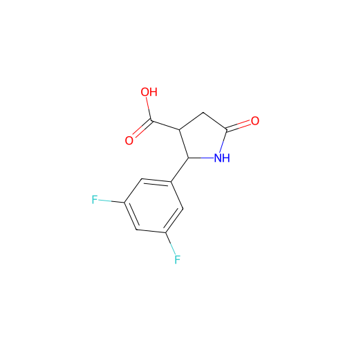 O=C1CC(C(=O)O)C(c2cc(F)cc(F)c2)N1